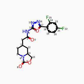 O=C(CC1CCN2C(=O)OCC2C1)Nc1nnc(-c2ccc(F)cc2F)o1